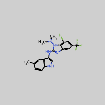 Cc1ccc2[nH]cc(Nc3nc4cc(C(F)(F)F)cc(F)c4n3N(C)C)c2c1